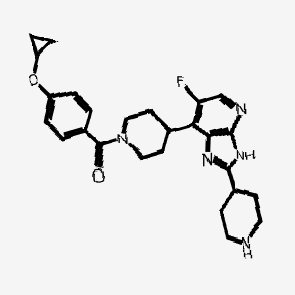 O=C(c1ccc(OC2CC2)cc1)N1CCC(c2c(F)cnc3[nH]c(C4CCNCC4)nc23)CC1